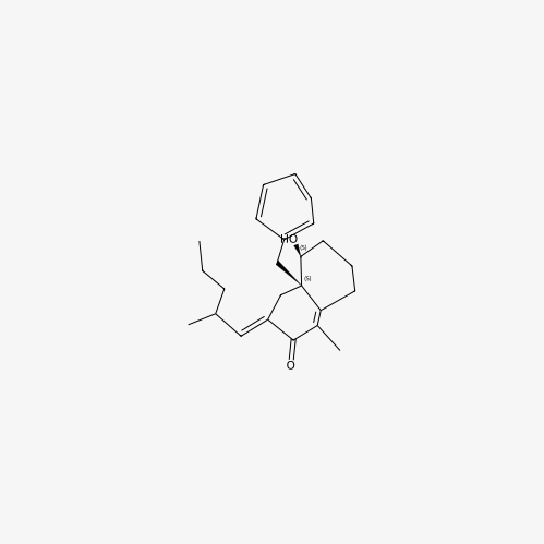 CCCC(C)C=C1C[C@@]2(Cc3ccccc3)C(=C(C)C1=O)CCC[C@@H]2O